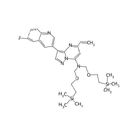 C=Cc1cc(N(COCC[Si](C)(C)C)COCC[Si](C)(C)C)n2ncc(-c3cnc4ccc(F)cc4c3)c2n1